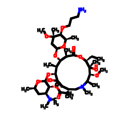 CC[C@H]1OC(=O)[C@H](C)[C@@H](O[C@H]2C[C@@](C)(OC)[C@@H](OCCCN)[C@H](C)O2)[C@H](C)[C@@H](O[C@@H]2O[C@H](C)C[C@H](N(C)C)[C@H]2OC(C)=O)[C@](C)(O)C[C@@H](C)CN(C)[C@H](C)[C@@H](OC)[C@]1(C)O